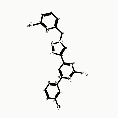 CCCc1cccc(Cn2cc(-c3cc(-c4cccc(C#N)c4)nc(N)n3)nn2)n1